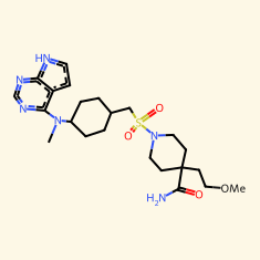 COCCC1(C(N)=O)CCN(S(=O)(=O)CC2CCC(N(C)c3ncnc4[nH]ccc34)CC2)CC1